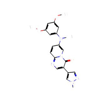 COc1cc(OC)cc(N(C)c2ccc3ncc(-c4cnn(C)c4)c(=O)n3c2)c1